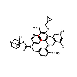 COc1ccc([C@@H](Cc2c(Cl)c[n+](O)cc2Cl)c2cc(CN(C(=O)O[C@H]3CN4CCC3CC4)c3cccnc3)ccc2C(=O)[O-])cc1OCC1CC1